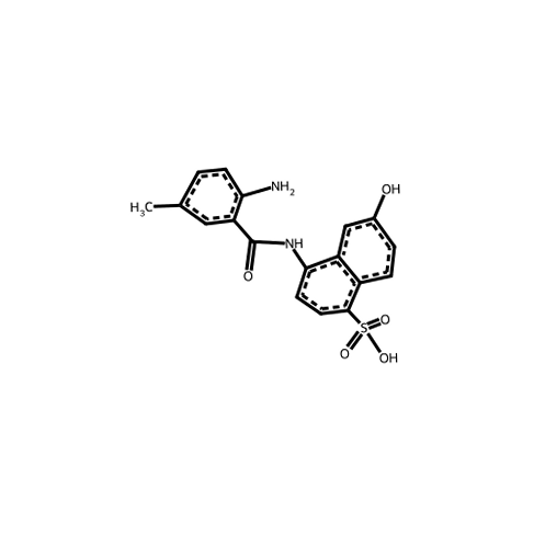 Cc1ccc(N)c(C(=O)Nc2ccc(S(=O)(=O)O)c3ccc(O)cc23)c1